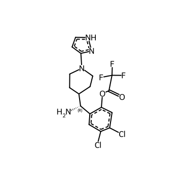 N[C@@H](c1cc(Cl)c(Cl)cc1OC(=O)C(F)(F)F)C1CCN(c2cc[nH]n2)CC1